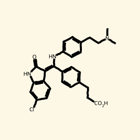 CN(C)CCc1ccc(N/C(=C2\C(=O)Nc3cc(Cl)ccc32)c2ccc(CCC(=O)O)cc2)cc1